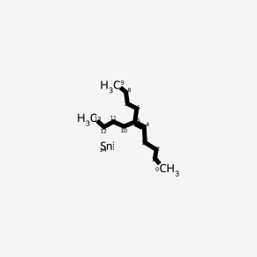 CCCCC=C(CCCC)CCCC.[Sn]